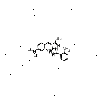 CCN(CC)c1ccc(/C=c2/c(C(C)(C)C)nn3c(-c4ccccc4N)nnc23)c(C)c1